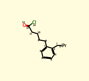 CC(C)Cc1ccccc1CCCCC(=O)Cl